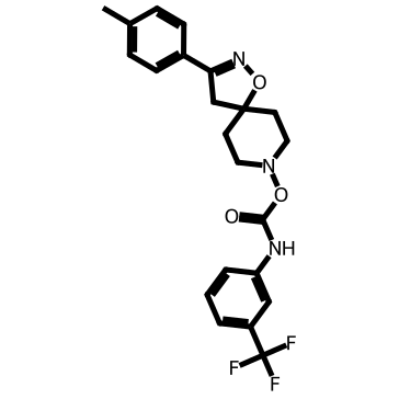 Cc1ccc(C2=NOC3(CCN(OC(=O)Nc4cccc(C(F)(F)F)c4)CC3)C2)cc1